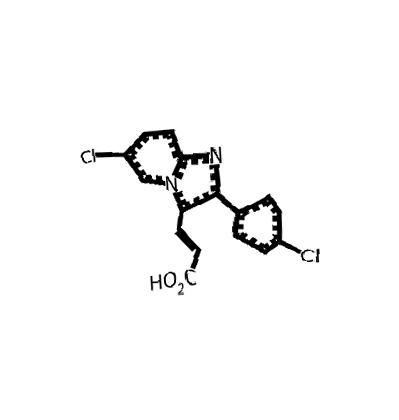 O=C(O)C=Cc1c(-c2ccc(Cl)cc2)nc2ccc(Cl)cn12